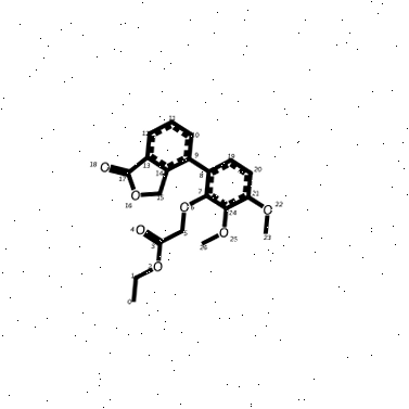 CCOC(=O)COc1c(-c2cccc3c2COC3=O)ccc(OC)c1OC